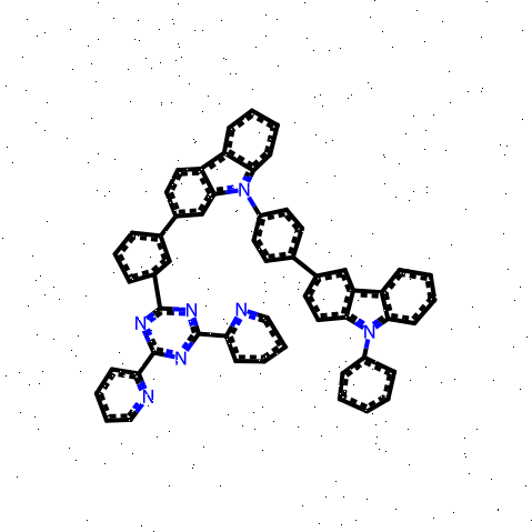 c1ccc(-n2c3ccccc3c3cc(-c4ccc(-n5c6ccccc6c6ccc(-c7cccc(-c8nc(-c9ccccn9)nc(-c9ccccn9)n8)c7)cc65)cc4)ccc32)cc1